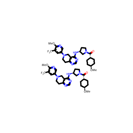 COc1ncc(N2CCc3ncnc(N[C@H]4CCN(C(=O)[C@H]5CC[C@H](OC)CC5)C4)c3C2)cc1C(F)(F)F.COc1ncc(N2CCc3ncnc(N[C@H]4CCN(C(=O)[C@H]5CC[C@H](OC)CC5)C4)c3C2)cc1C(F)(F)F